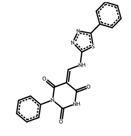 O=C1NC(=O)N(c2ccccc2)C(=O)C1=CNc1nnc(-c2ccccc2)s1